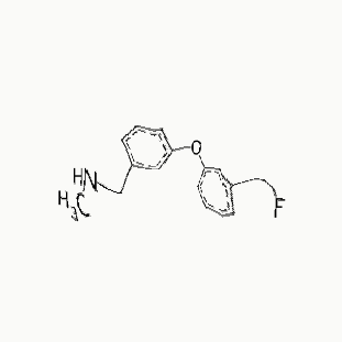 CNCc1cccc(Oc2cccc(CF)c2)c1